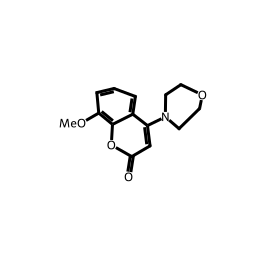 COc1cccc2c(N3CCOCC3)cc(=O)oc12